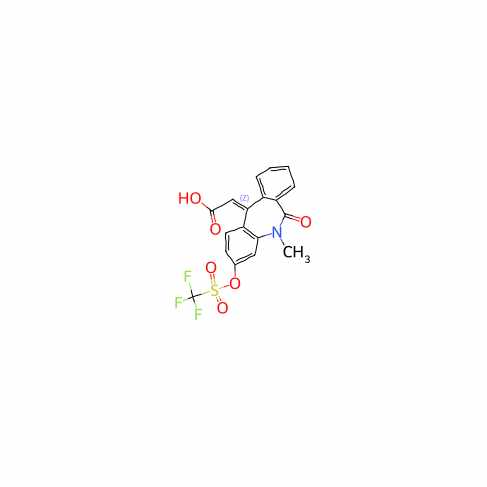 CN1C(=O)c2ccccc2/C(=C/C(=O)O)c2ccc(OS(=O)(=O)C(F)(F)F)cc21